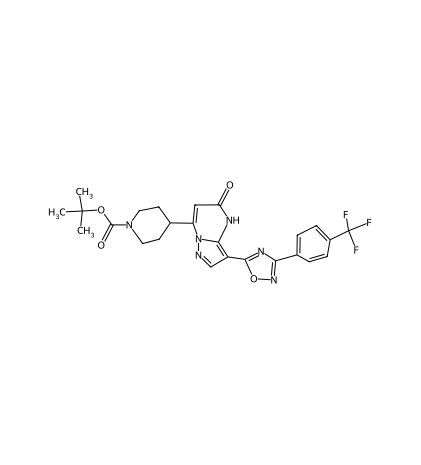 CC(C)(C)OC(=O)N1CCC(c2cc(=O)[nH]c3c(-c4nc(-c5ccc(C(F)(F)F)cc5)no4)cnn23)CC1